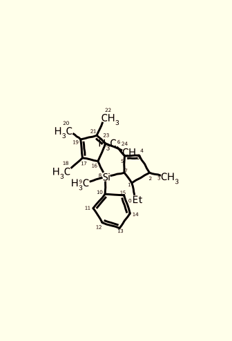 CCC1C(C)C=C(C)C1[Si](C)(c1ccccc1)C1C(C)=C(C)C(C)=C1C